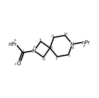 CCCC(=O)N1CC2(CCN(CCC)CC2)C1